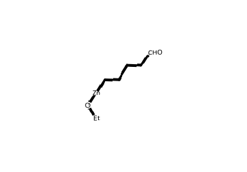 CC[O][Zn][CH2]CCCC=O